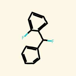 Fc1ccccc1C(F)c1ccccc1